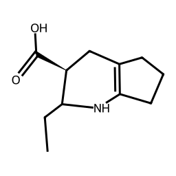 CCC1NC2=C(CCC2)C[C@@H]1C(=O)O